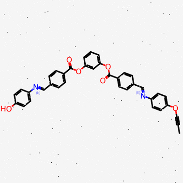 CC#COc1ccc(/N=C/c2ccc(C(=O)Oc3cccc(OC(=O)c4ccc(/C=N/c5ccc(O)cc5)cc4)c3)cc2)cc1